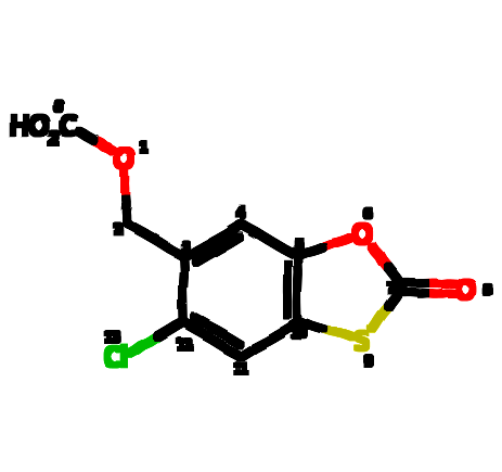 O=C(O)OCc1cc2oc(=O)sc2cc1Cl